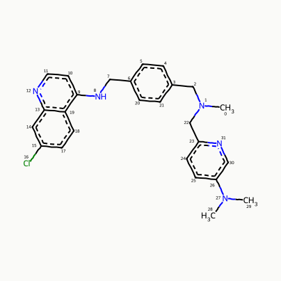 CN(Cc1ccc(CNc2ccnc3cc(Cl)ccc23)cc1)Cc1ccc(N(C)C)cn1